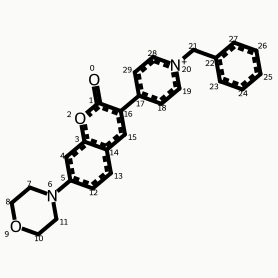 O=c1oc2cc(N3CCOCC3)ccc2cc1-c1cc[n+](Cc2ccccc2)cc1